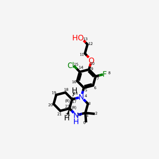 CC1(C)CN(c2cc(F)c(OCCO)c(Cl)c2)[C@@H]2CCCC[C@H]2N1